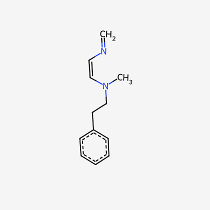 C=N/C=C\N(C)CCc1ccccc1